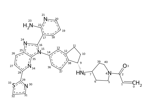 C=CC(=O)N1CCC(N[C@H]2CCc3cc(-n4c(-c5cccnc5N)nc5ccc(-c6nccs6)nc54)ccc32)CC1